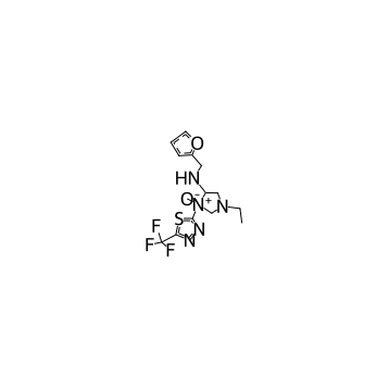 CCN1CC(NCc2ccco2)[N+]([O-])(c2nnc(C(F)(F)F)s2)C1